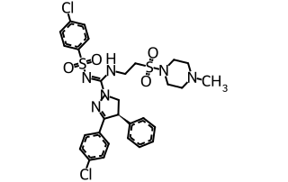 CN1CCN(S(=O)(=O)CCN/C(=N\S(=O)(=O)c2ccc(Cl)cc2)N2C[C@@H](c3ccccc3)C(c3ccc(Cl)cc3)=N2)CC1